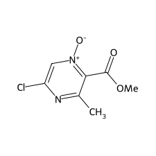 COC(=O)c1c(C)nc(Cl)c[n+]1[O-]